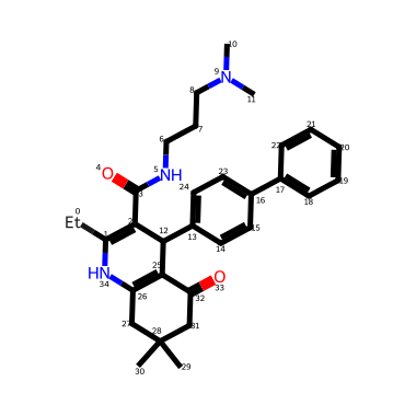 CCC1=C(C(=O)NCCCN(C)C)C(c2ccc(-c3ccccc3)cc2)C2=C(CC(C)(C)CC2=O)N1